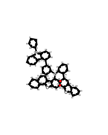 c1ccc(-n2c3ccccc3c3c(-c4cccc(N(c5ccccc5-c5ccc6oc7ccccc7c6c5)c5cccc6oc7c8ccccc8ccc7c56)c4)cccc32)cc1